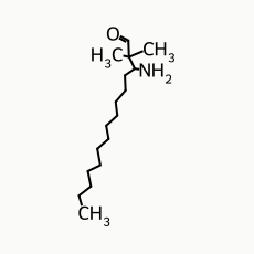 CCCCCCCCCCCCC(N)C(C)(C)C=O